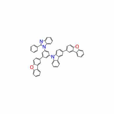 c1ccc(-c2nc3ccccc3n2-c2cc(-c3ccc4oc5ccccc5c4c3)cc(-n3c4ccccc4c4cc(-c5ccc6oc7ccccc7c6c5)ccc43)c2)cc1